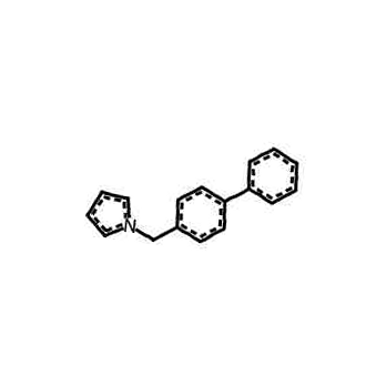 c1ccc(-c2ccc(Cn3cccc3)cc2)cc1